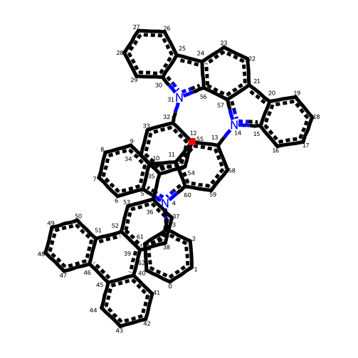 c1ccc(-n2c3ccccc3c3cc(-n4c5ccccc5c5ccc6c7ccccc7n(-c7ccc(-c8ccc9c%10ccccc%10c%10ccccc%10c9c8)cc7)c6c54)ccc32)cc1